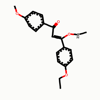 CBO/C(=C\C(=O)c1ccc(OC)cc1)c1ccc(OCC)cc1